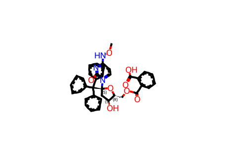 CONc1ccn([C@@]2(C(c3ccccc3)(c3ccccc3)c3ccccc3)C[C@H](O)[C@@H](COC(=O)c3ccccc3C(=O)O)O2)c(=O)n1